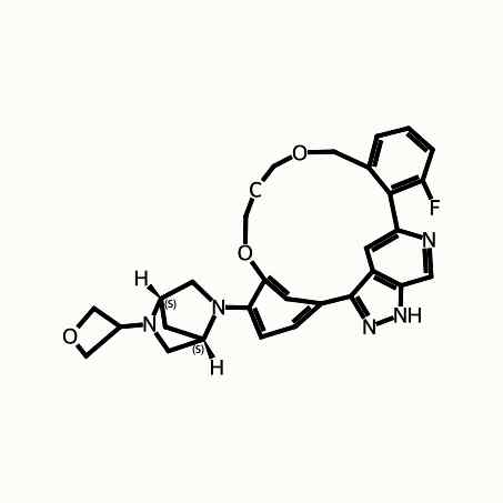 Fc1cccc2c1-c1cc3c(n[nH]c3cn1)-c1ccc(N3C[C@@H]4C[C@H]3CN4C3COC3)c(c1)OCCCOC2